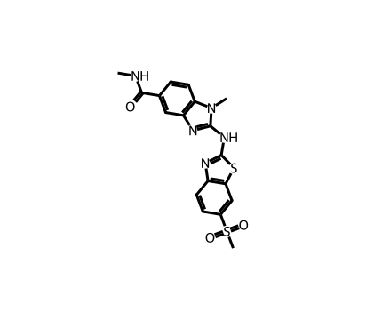 CNC(=O)c1ccc2c(c1)nc(Nc1nc3ccc(S(C)(=O)=O)cc3s1)n2C